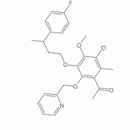 COc1c(Cl)c(C)c(C(C)=O)c(OCc2ccccn2)c1OCCC(C)c1ccc(F)cc1